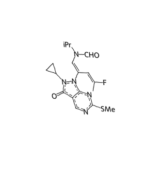 CSc1ncc2c(=O)n(C3CC3)n(C(/C=C(\C)F)=C/N(C=O)C(C)C)c2n1